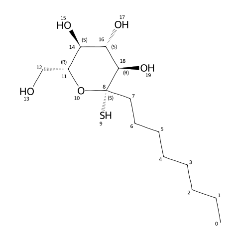 CCCCCCCC[C@@]1(S)O[C@H](CO)[C@@H](O)[C@H](O)[C@H]1O